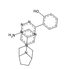 Nc1nnc(-c2ccccc2O)cc1N1CC2CCC(C1)N2c1cncnc1